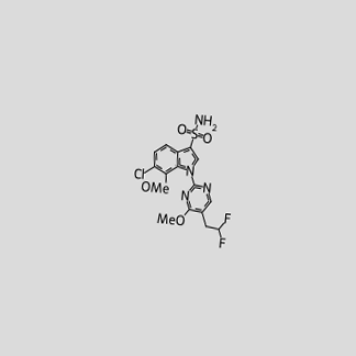 COc1nc(-n2cc(S(N)(=O)=O)c3ccc(Cl)c(OC)c32)ncc1CC(F)F